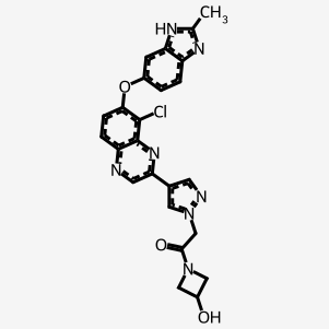 Cc1nc2ccc(Oc3ccc4ncc(-c5cnn(CC(=O)N6CC(O)C6)c5)nc4c3Cl)cc2[nH]1